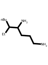 CCCCC(CC)C(N)CCCN